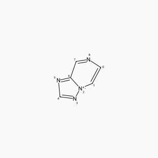 C1=C[N+]2N=CN=C2C=N1